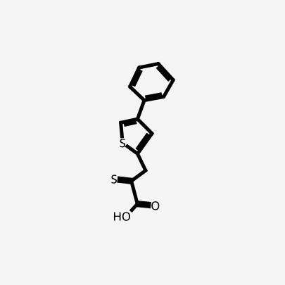 O=C(O)C(=S)Cc1cc(-c2ccccc2)cs1